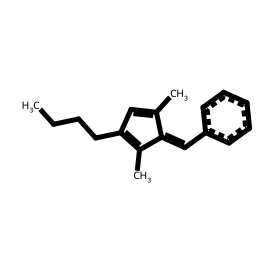 CCCCC1=C(C)C(=Cc2ccccc2)C(C)=C1